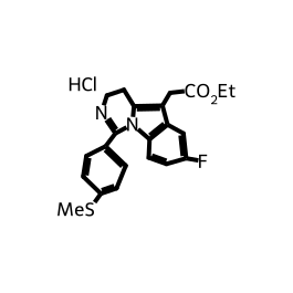 CCOC(=O)Cc1c2n(c3ccc(F)cc13)C(c1ccc(SC)cc1)=NCC2.Cl